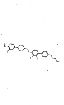 CCCCCc1ccc(-c2ccc(CCC3CCC(c4ccc(OC)c(F)c4)CC3)c(F)c2F)cc1